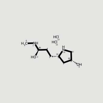 CN[C@H](O)CC[C@H]1C[C@@H](O)CN1.Cl.Cl